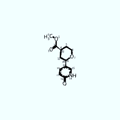 COC(=O)[C@H]1CCO[C@@H](c2ccc(=O)[nH]c2)C1